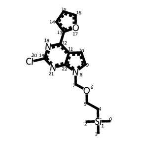 C[Si](C)(C)CCOCn1ccc2c(-c3ccco3)nc(Cl)nc21